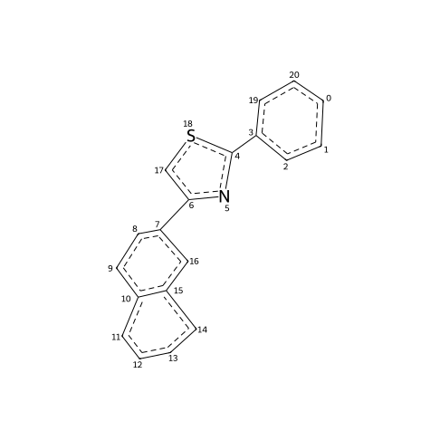 c1ccc(-c2nc(-c3ccc4ccccc4c3)cs2)cc1